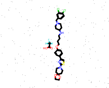 Clc1ccc(CN2CCC(NCCCCOc3ccc(-c4csc(N5CCC6(CC5)OCCO6)n4)cc3)CC2)cc1Cl.O=C(O)C(F)(F)F